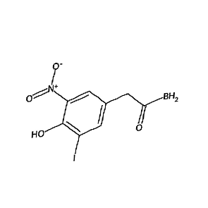 BC(=O)Cc1cc(I)c(O)c([N+](=O)[O-])c1